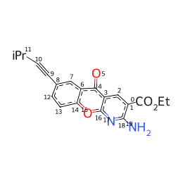 CCOC(=O)c1cc2c(=O)c3cc(C#CC(C)C)ccc3oc2nc1N